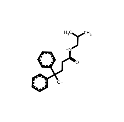 CC(C)CNC(=O)CCC(O)(c1ccccc1)c1ccccc1